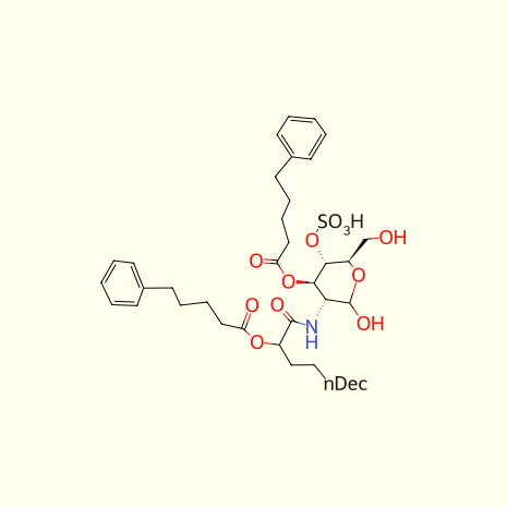 CCCCCCCCCCCCC(OC(=O)CCCCc1ccccc1)C(=O)N[C@H]1C(O)O[C@H](CO)[C@@H](OS(=O)(=O)O)[C@@H]1OC(=O)CCCCc1ccccc1